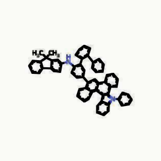 CC1(C)c2ccccc2-c2ccc(Nc3ccc(-c4cc5c6ccccc6c6c(c7ccccc7n6-c6ccccc6)c5c5ccccc45)cc3-c3ccccc3-c3ccccc3)cc21